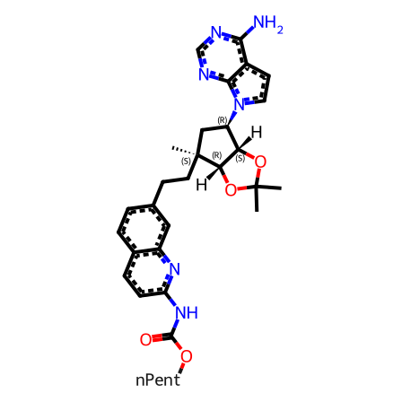 CCCCCOC(=O)Nc1ccc2ccc(CC[C@@]3(C)C[C@@H](n4ccc5c(N)ncnc54)[C@@H]4OC(C)(C)O[C@@H]43)cc2n1